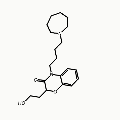 O=C1C(CCO)Oc2ccccc2N1CCCCN1CCCCCC1